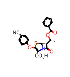 C[C@@H](OC(=O)c1ccccc1)[C@H]1C(=O)N2C(C(=O)O)=C(Oc3ccc(C#N)cc3)SC12